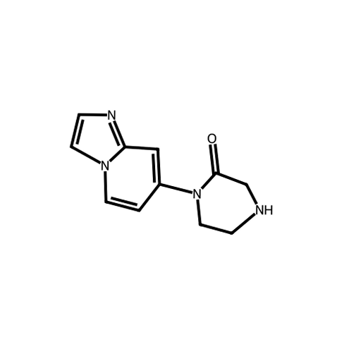 O=C1CNCCN1c1ccn2ccnc2c1